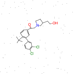 CC(C)(C)c1ccc(C(=O)CN2CCC(CCO)C2)cc1-c1ccc(Cl)c(Cl)c1